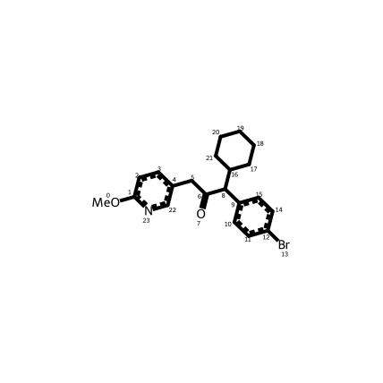 COc1ccc(CC(=O)C(c2ccc(Br)cc2)C2CCCCC2)cn1